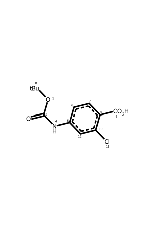 CC(C)(C)OC(=O)Nc1ccc(C(=O)O)c(Cl)c1